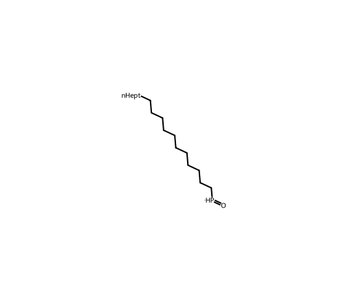 CCCCCCCCCCCCCCCCCC[PH]=O